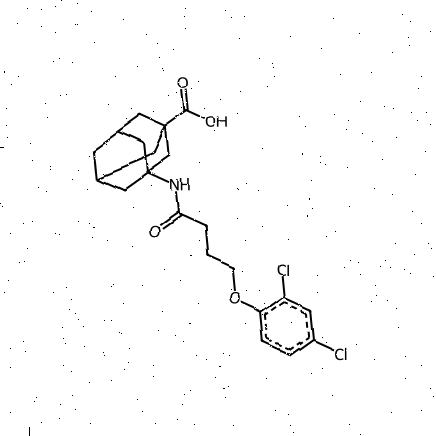 O=C(CCCOc1ccc(Cl)cc1Cl)NC12CC3CC(C1)CC(C(=O)O)(C3)C2